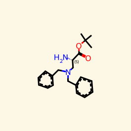 CC(C)(C)OC(=O)[C@@H](N)CN(Cc1ccccc1)Cc1ccccc1